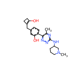 Cc1nc(NC2CCCN(C)C2)nnc1-c1ccc(CC2=C(O)CC2)cc1O